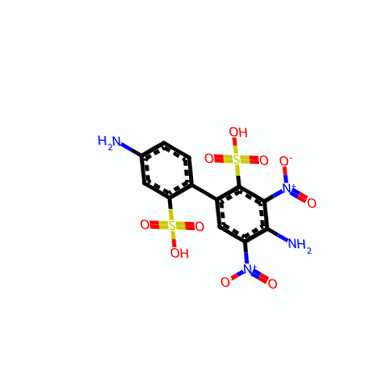 Nc1ccc(-c2cc([N+](=O)[O-])c(N)c([N+](=O)[O-])c2S(=O)(=O)O)c(S(=O)(=O)O)c1